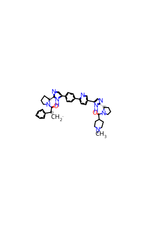 [CH2][C@@H](C(=O)N1CCC[C@H]1c1ncc(-c2ccc(-c3ccc(-c4cnc([C@@H]5CCCN5C(=O)C5CCN(C)CC5)[nH]4)cn3)cc2)[nH]1)c1ccccc1